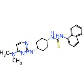 CN(C)c1ccnc(N[C@H]2CC[C@@H](NC(=S)Nc3cccc4ccccc34)CC2)n1